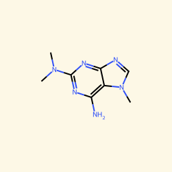 CN(C)c1nc(N)c2c(ncn2C)n1